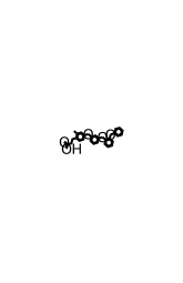 Cc1cc(Oc2cccc(Oc3ccccc3Oc3ccccc3)c2)ccc1CCC(=O)O